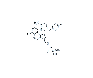 C[C@@H]1CCN(Cc2ccc(C(F)(F)F)cc2)C[C@@H]1n1ccc(=O)c2cnc3c(ccn3COCC[Si](C)(C)C)c21